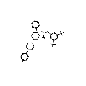 CC(=O)N(Cc1cc(C(F)(F)F)cc(C(F)(F)F)c1)C[C@]1(c2ccccc2)CC[C@@H](N2CCC(c3ccc(F)cc3)CC2)CC1